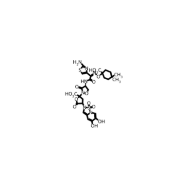 CC1(C)CCC(O/N=C(\C(=O)N[C@H]2CON(C3(C(=O)O)CC(N4C=C5C=C(O)C(O)=CN5S4(=O)=O)C(=O)O3)C2=O)c2csc(N)n2)(C(=O)O)CC1